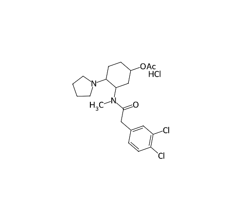 CC(=O)OC1CCC(N2CCCC2)C(N(C)C(=O)Cc2ccc(Cl)c(Cl)c2)C1.Cl